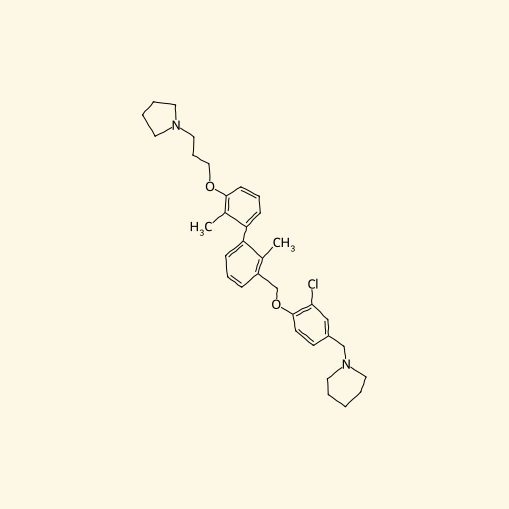 Cc1c(COc2ccc(CN3CCCCC3)cc2Cl)cccc1-c1cccc(OCCCN2CCCC2)c1C